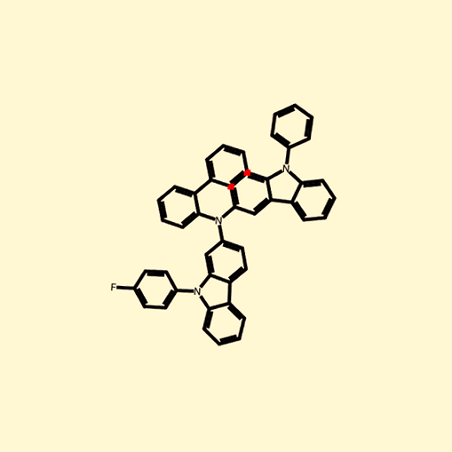 Fc1ccc(-n2c3ccccc3c3ccc(N(c4ccc5c(c4)c4ccccc4n5-c4ccccc4)c4ccccc4-c4ccccc4)cc32)cc1